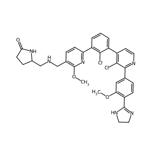 COc1cc(-c2nccc(-c3cccc(-c4ccc(CNCC5CCC(=O)N5)c(OC)n4)c3Cl)c2Cl)ccc1C1=NCCN1